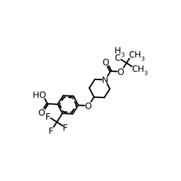 CC(C)(C)OC(=O)N1CCC(Oc2ccc(C(=O)O)c(C(F)(F)F)c2)CC1